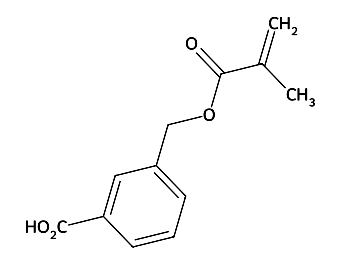 C=C(C)C(=O)OCc1cccc(C(=O)O)c1